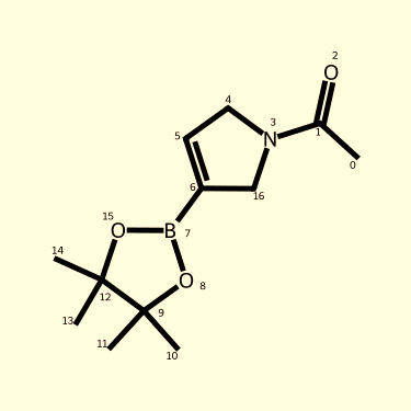 CC(=O)N1CC=C(B2OC(C)(C)C(C)(C)O2)C1